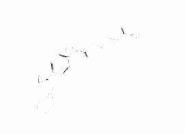 NC(=O)CCC[CH]C(=O)Nc1ccc(C2(CN3CCCC3)CC2)cc1